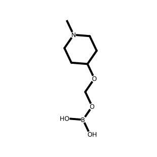 CN1CCC(OCOB(O)O)CC1